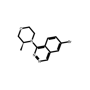 C[C@H]1COCCN1c1nncc2cc(Br)ccc12